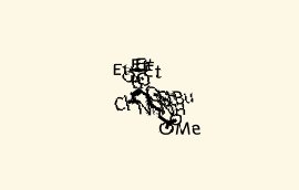 CCC1(CC)OB(c2cc(Cl)nc([C@H](CC(=O)OC)N[S@+]([O-])C(C)(C)C)c2)OC1(CC)CC